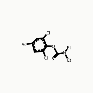 CCN(CC)C(=S)Oc1c(Cl)cc(C(C)=O)cc1Cl